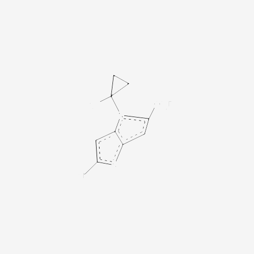 CCOC(=O)c1cc2sc(Cl)cc2n1C1(C(=O)O)CC1